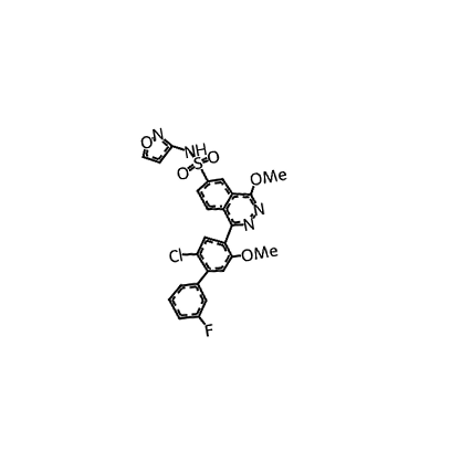 COc1cc(-c2cccc(F)c2)c(Cl)cc1-c1nnc(OC)c2cc(S(=O)(=O)Nc3ccon3)ccc12